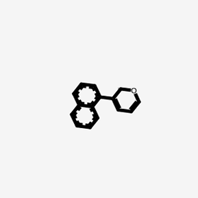 [C]1OC=CC=C1c1cccc2ccccc12